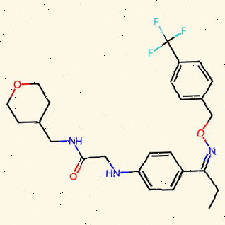 CCC(=NOCc1ccc(C(F)(F)F)cc1)c1ccc(NCC(=O)NCC2CCOCC2)cc1